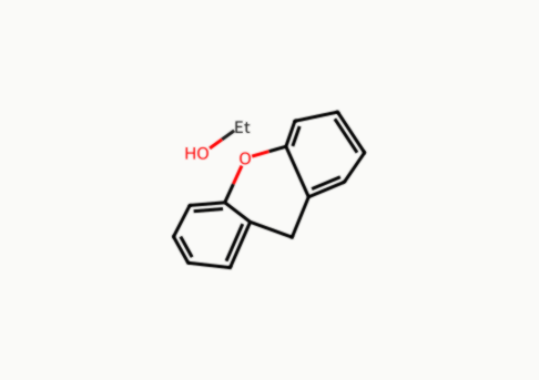 CCO.c1ccc2c(c1)Cc1ccccc1O2